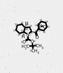 CC(C)(C)OC(=O)N1[C@H](C(=O)N2CC3CCC2CC3)C[C@@H]2CCCC[C@@H]21